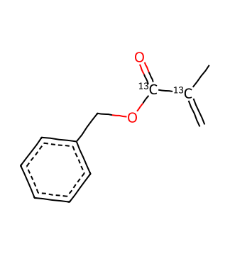 C=[13C](C)[13C](=O)OCc1ccccc1